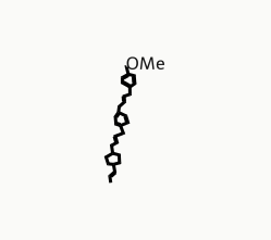 CC=CC1CCC(CC=CCc2ccc(CC=CCc3ccc(COC)cc3)cc2)CC1